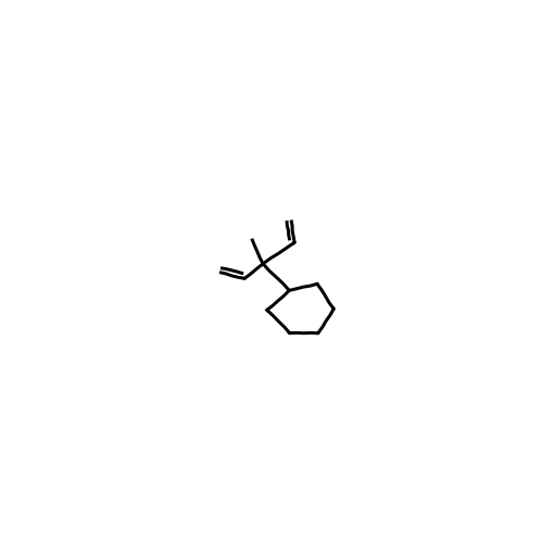 C=CC(C)(C=C)C1CCCCC1